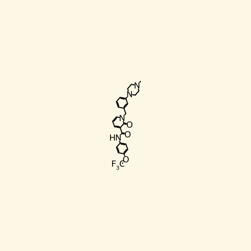 CN1CCN(c2cccc(Cn3cccc(C(=O)Nc4ccc(OC(F)(F)F)cc4)c3=O)c2)CC1